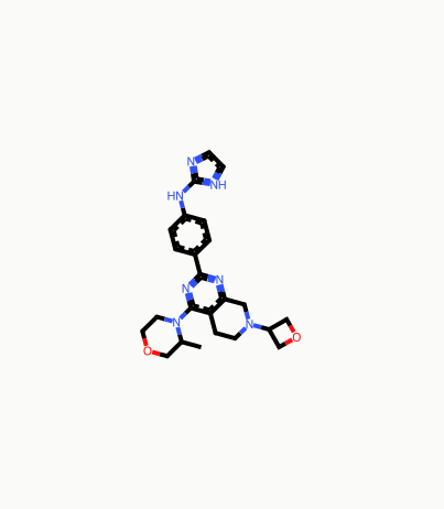 CC1COCCN1c1nc(-c2ccc(Nc3ncc[nH]3)cc2)nc2c1CCN(C1COC1)C2